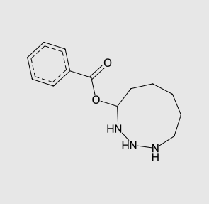 O=C(OC1CCCCCNNN1)c1ccccc1